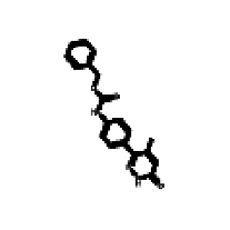 Cc1cc(=O)[nH]nc1-c1ccc(NC(=O)OCc2ccccc2)cc1